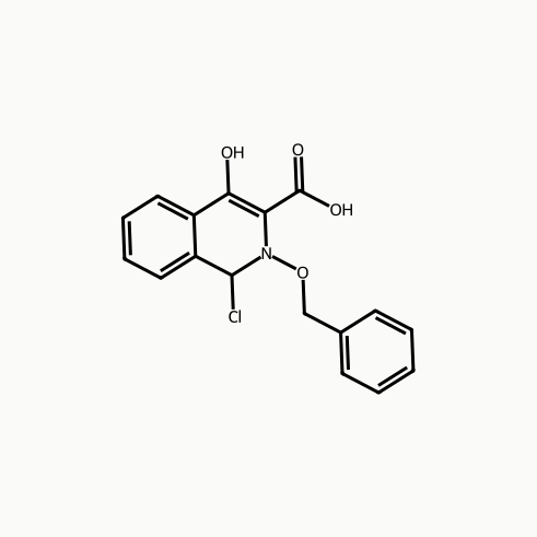 O=C(O)C1=C(O)c2ccccc2C(Cl)N1OCc1ccccc1